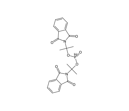 CC(C)(O[PH](=O)OC(C)(C)N1C(=O)c2ccccc2C1=O)N1C(=O)c2ccccc2C1=O